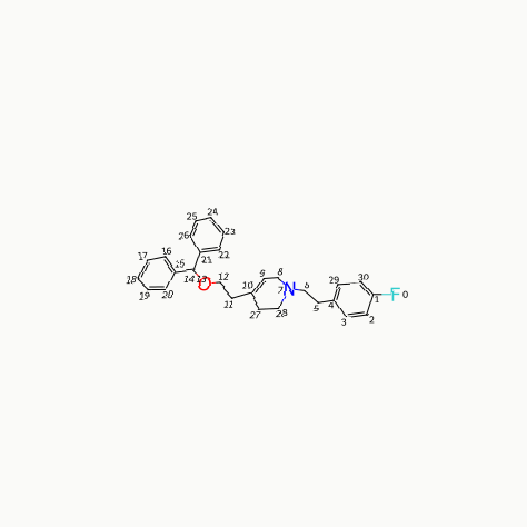 Fc1ccc(CCN2CC=C(CCOC(c3ccccc3)c3ccccc3)CC2)cc1